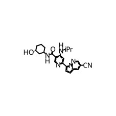 CC(C)Nc1cc(-c2ccc3cc(C#N)cnn23)ncc1C(=O)NC1CCC[C@@H](O)C1